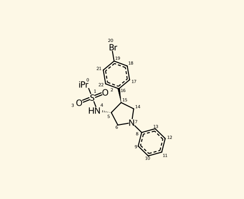 CC(C)S(=O)(=O)N[C@H]1CN(c2ccccc2)C[C@@H]1c1ccc(Br)cc1